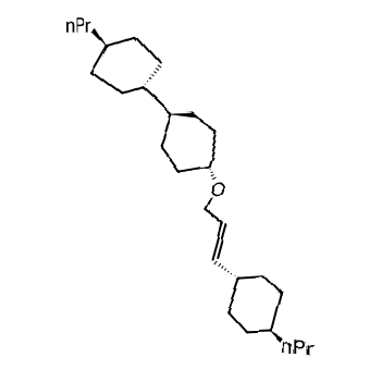 CCC[C@H]1CC[C@H](/C=C/CO[C@H]2CC[C@H]([C@H]3CC[C@H](CCC)CC3)CC2)CC1